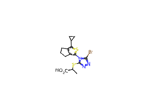 CC(Sc1nnc(Br)n1-c1sc(C2CC2)c2c1CCC2)C(=O)O